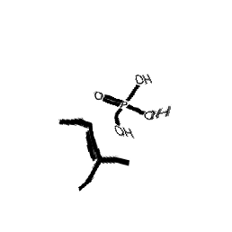 CC=C(C)C.O=P(O)(O)O